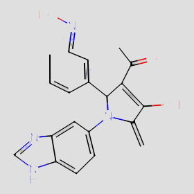 C=C1C(O)=C(C(C)=O)C(C(/C=C\C)=C/C=N/O)N1c1ccc2[nH]cnc2c1